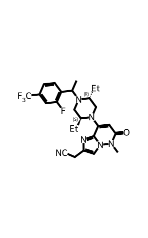 CC[C@H]1CN(C(C)c2ccc(C(F)(F)F)cc2F)[C@H](CC)CN1c1cc(=O)n(C)n2cc(CC#N)nc12